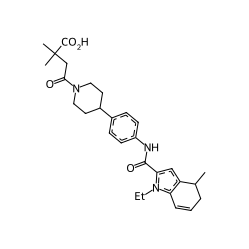 CCn1c(C(=O)Nc2ccc(C3CCN(C(=O)CC(C)(C)C(=O)O)CC3)cc2)cc2c1C=CCC2C